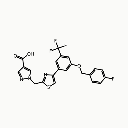 O=C(O)c1cnn(Cc2nc(-c3cc(OCc4ccc(F)cc4)cc(C(F)(F)F)c3)cs2)c1